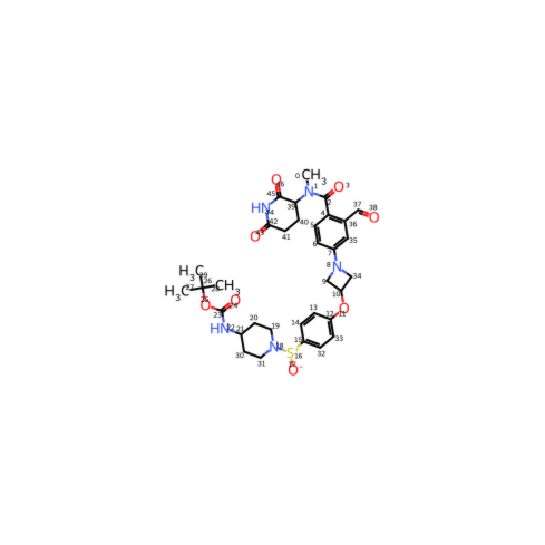 CN(C(=O)c1ccc(N2CC(Oc3ccc([S+]([O-])N4CCC(NC(=O)OC(C)(C)C)CC4)cc3)C2)cc1C=O)C1CCC(=O)NC1=O